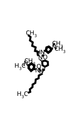 CCCCCCCCCCN(C[C@@H]1CCC[C@H](CN(CCCCCCCCCC)C(=O)Nc2ccc(N(C)C)cc2)C1)C(=O)Nc1ccc(N(C)C)cc1